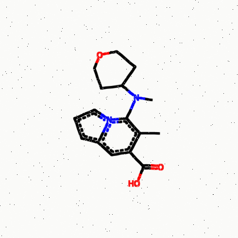 Cc1c(C(=O)O)cc2cccn2c1N(C)C1CCOCC1